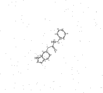 O=C(Cc1ccc2cc[nH]c2c1)NCc1ccccc1